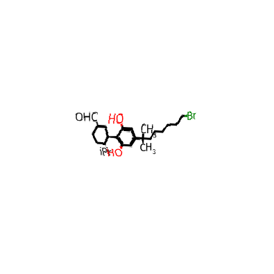 CC(C)[C@@H]1CC[C@@H](C=O)C[C@H]1c1c(O)cc(C(C)(C)CCCCCCBr)cc1O